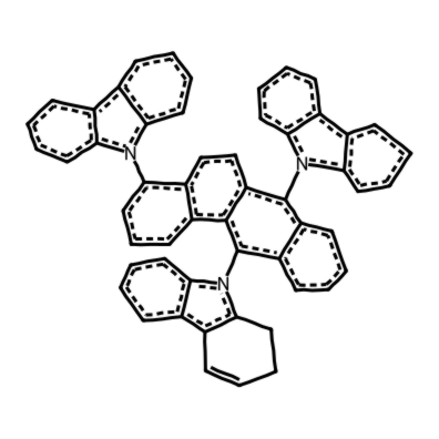 C1=Cc2c(n(-c3c4ccccc4c(-n4c5ccccc5c5ccccc54)c4ccc5c(-n6c7ccccc7c7ccccc76)cccc5c34)c3ccccc23)CC1